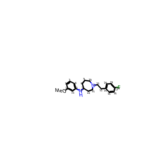 COc1cccc(NC2CCCN(CCc3ccc(F)cc3)CC2)c1